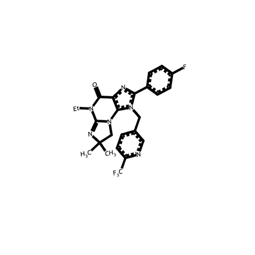 CCN1C(=O)c2nc(-c3ccc(F)cc3)n(Cc3ccc(C(F)(F)F)nc3)c2N2CC(C)(C)N=C12